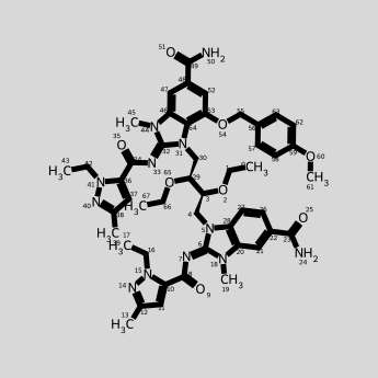 CCO[C@@H](Cn1/c(=N/C(=O)c2cc(C)nn2CC)n(C)c2cc(C(N)=O)ccc21)[C@H](Cn1/c(=N/C(=O)c2cc(C)nn2CC)n(C)c2cc(C(N)=O)cc(OCc3ccc(OC)cc3)c21)OCC